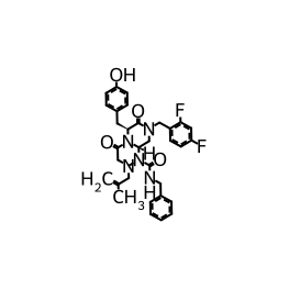 C=C(C)CN1CC(=O)N2[C@@H](Cc3ccc(O)cc3)C(=O)N(Cc3ccc(F)cc3F)C[C@@H]2N1C(=O)NCc1ccccc1